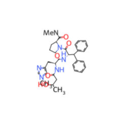 CNC(=O)[C@@H]1CCCN1C(=O)[C@@H](NC(=O)[C@H](Cc1cn(C)cn1)NC(=O)C[C@@H](C)O)C(c1ccccc1)c1ccccc1